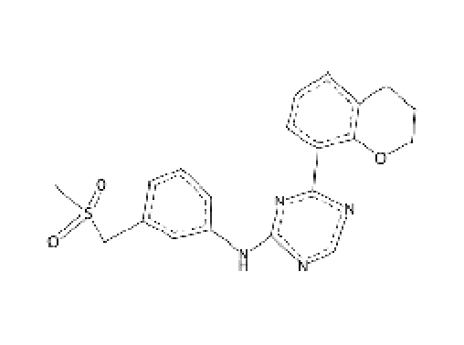 CS(=O)(=O)Cc1cccc(Nc2ncnc(-c3cccc4c3OCCC4)n2)c1